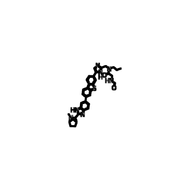 CCCN(Cc1ncc(-c2ccc3c(c2)sc2cc(-c4ccc5nc(C6C7CCC(C7)N6C)[nH]c5c4)ccc23)[nH]1)C(=O)CNC=O